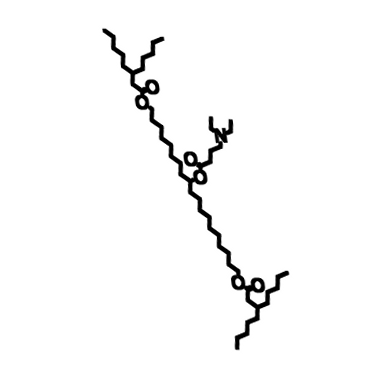 CCCCCC(CCCCC)CC(=O)OCCCCCCCCCCC(CCCCCCCCOC(=O)CC(CCCCC)CCCCC)OC(=O)CCCN(CC)CC